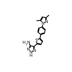 Cc1cc(C)n(-c2ccc(-c3ccc(-c4n[nH]nc4N)s3)cc2)n1